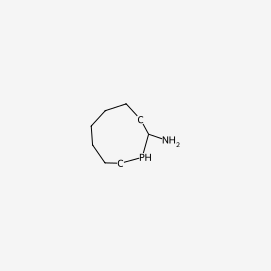 NC1CCCCCCCP1